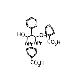 CCCC(O)C(c1ccccc1)C(O)CCC.O=C(O)c1ccccc1.O=C(O)c1ccccc1